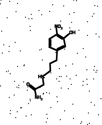 NC(=O)CNCCCc1ccc([N+](=O)[O-])c(O)c1